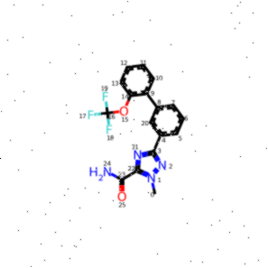 Cn1nc(-c2cccc(-c3ccccc3OC(F)(F)F)c2)nc1C(N)=O